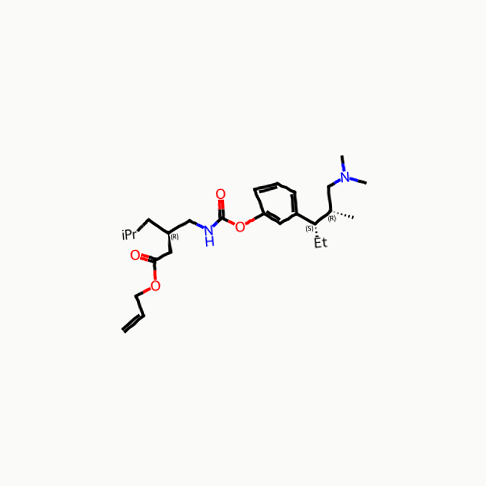 C=CCOC(=O)C[C@H](CNC(=O)Oc1cccc([C@@H](CC)[C@@H](C)CN(C)C)c1)CC(C)C